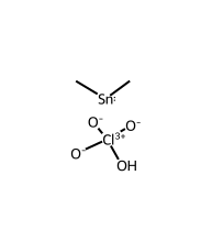 [CH3][Sn][CH3].[O-][Cl+3]([O-])([O-])O